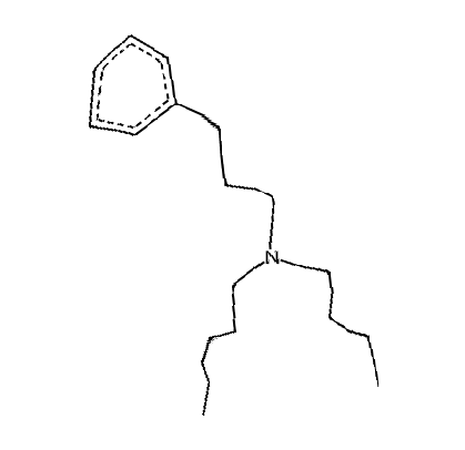 CCCCN(CCCC)CCCc1ccccc1